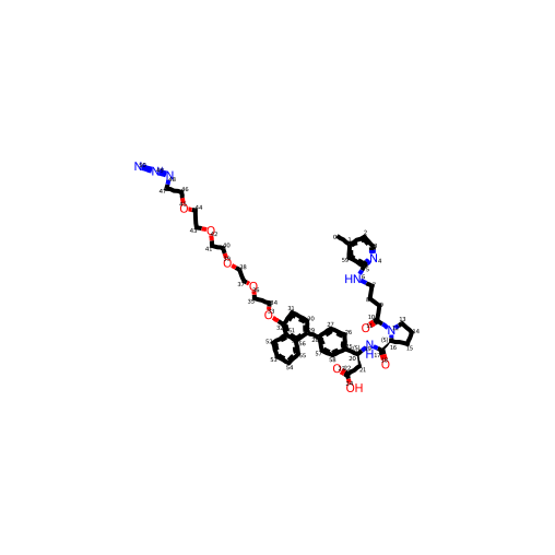 Cc1ccnc(NCCCC(=O)N2CCC[C@H]2C(=O)N[C@@H](CC(=O)O)c2ccc(-c3ccc(OCCOCCOCCOCCOCCN=[N+]=[N-])c4ccccc34)cc2)c1